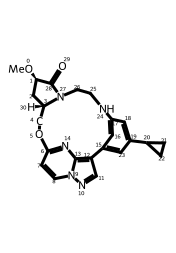 CO[C@@H]1C[C@H]2COc3ccn4ncc(c4n3)-c3cc(cc(C4CC4)c3)NCCN2C1=O